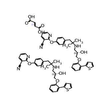 CC(C)(Cc1ccc(Oc2ncccc2C#N)cc1)NC[C@H](O)COc1ccccc1-c1cccs1.CC(C)(Cc1ccc(Oc2ncccc2C#N)cc1)NC[C@H](O)COc1ccccc1-c1cccs1.O=C(O)/C=C/C(=O)O